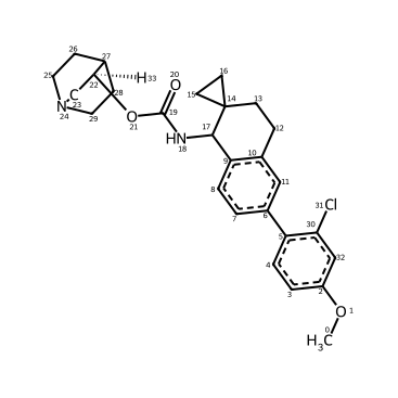 COc1ccc(-c2ccc3c(c2)CCC2(CC2)C3NC(=O)O[C@H]2CN3CCC2CC3)c(Cl)c1